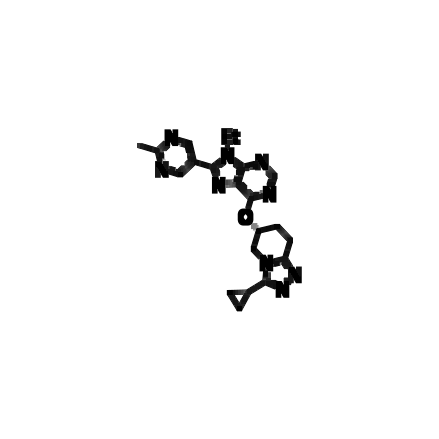 CCn1c(-c2cnc(C)nc2)nc2c(O[C@@H]3CCc4nnc(C5CC5)n4C3)ncnc21